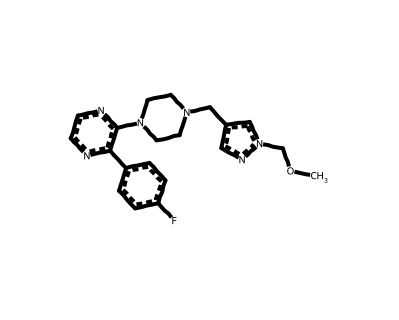 COCn1cc(CN2CCN(c3nccnc3-c3ccc(F)cc3)CC2)cn1